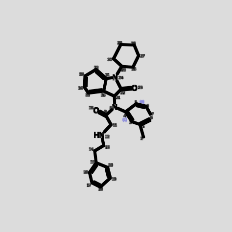 C=C(C)/C=C(\C=C/C)N(C(=O)CNCCc1ccccc1)C1C(=O)N(C2CCCCC2)c2ccccc21